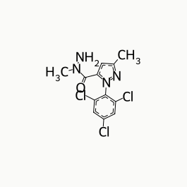 Cc1cc(C(=O)N(C)N)n(-c2c(Cl)cc(Cl)cc2Cl)n1